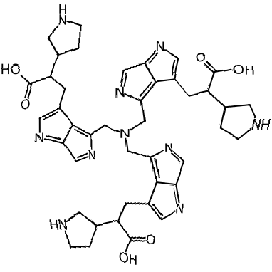 O=C(O)C(CC1=CN=C2C=NC(CN(CC3=C4C(CC(C(=O)O)C5CCNC5)=CN=C4C=N3)CC3=C4C(CC(C(=O)O)C5CCNC5)=CN=C4C=N3)=C12)C1CCNC1